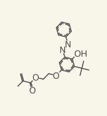 C=C(C)C(=O)OCCOc1cc(N=Nc2ccccc2)c(O)c(C(C)(C)C)c1